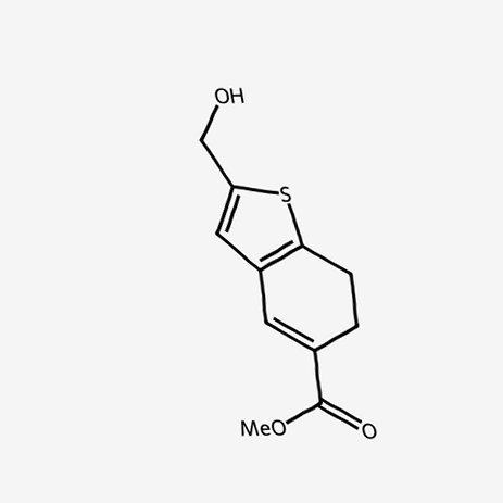 COC(=O)C1=Cc2cc(CO)sc2CC1